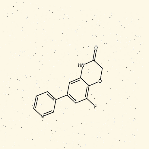 O=C1COc2c(F)cc(-c3cccnc3)cc2N1